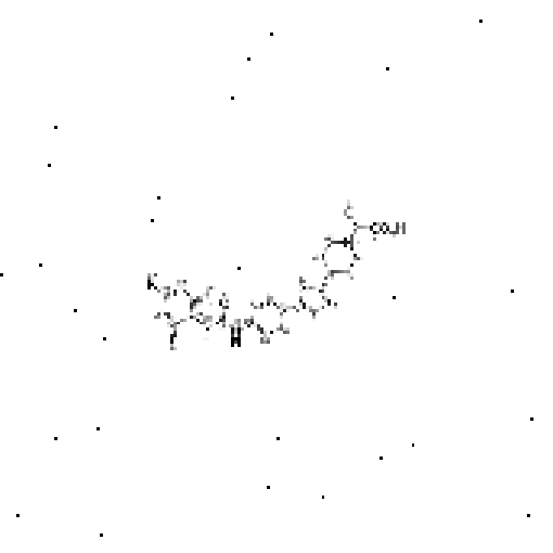 CC(C(=O)O)N1CCC(c2ncc(-c3ccc(NC(=O)Nc4c(F)cc(F)cc4F)cc3)s2)CC1